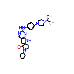 CC(C)N1CCN(c2ccc(Nc3ncc4c(n3)NC3(CCN(C5CCCC5)C3=O)C4)cc2)CC1